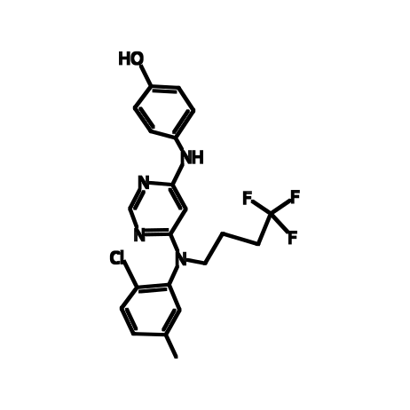 Cc1ccc(Cl)c(N(CCCC(F)(F)F)c2cc(Nc3ccc(O)cc3)ncn2)c1